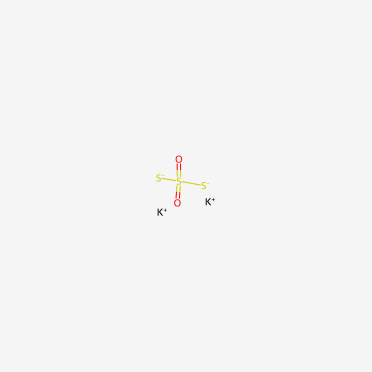 O=S(=O)([S-])[S-].[K+].[K+]